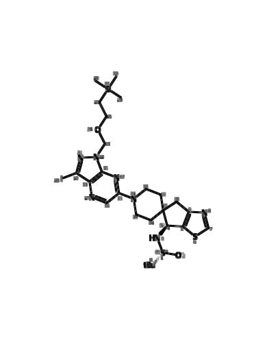 CC(C)(C)[S@@+]([O-])N[C@@H]1c2scnc2CC12CCN(c1cnc3c(I)nn(COCC[Si](C)(C)C)c3n1)CC2